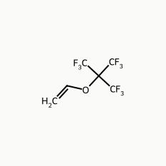 C=COC(C(F)(F)F)(C(F)(F)F)C(F)(F)F